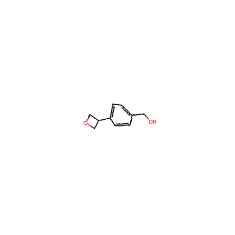 OCc1ccc(C2COC2)cc1